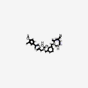 C=C(CN(CC1CCCC(CN2CN/C=C\C(C#N)=C/C2=C)C1)C(=O)O)S/C=C(\C)c1ccc(OC)c(C)c1